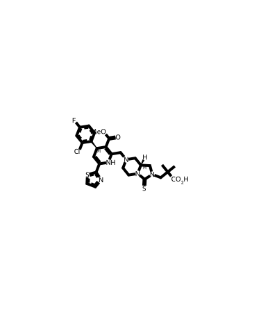 COC(=O)C1=C(CN2CCN3C(=S)N(CC(C)(C)C(=O)O)C[C@H]3C2)NC(c2nccs2)=C[C@H]1c1ccc(F)cc1Cl